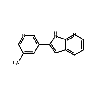 FC(F)(F)c1cncc(-c2cc3cccnc3[nH]2)c1